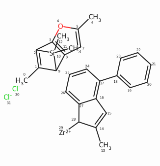 CC1=C2c3oc(C)cc3C1[Si]2(C)C.CC1=Cc2c(-c3ccccc3)cccc2[CH]1[Zr+2].[Cl-].[Cl-]